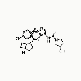 O=C(Nc1cnn2ccc(N3CC[C@H]4CC[C@]43c3cc(F)ccc3Cl)nc12)N1CC[C@H](O)C1